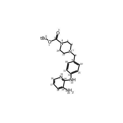 CC(C)(C)OC(=O)N1CCN(Cc2ccc(Nc3ncccc3N)cc2)CC1